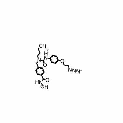 CCCCN(Cc1ccc(C(=O)NO)cc1)C(=O)Nc1ccc(OCCN=[N+]=[N-])cc1